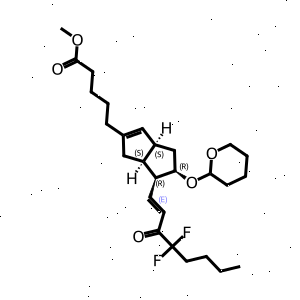 CCCCC(F)(F)C(=O)/C=C/[C@H]1[C@H]2CC(CCCCC(=O)OC)=C[C@H]2C[C@H]1OC1CCCCO1